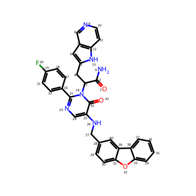 NC(=O)C(Cc1cc2cnccc2[nH]1)n1c(-c2ccc(F)cc2)ncc(NCc2ccc3oc4ccccc4c3c2)c1=O